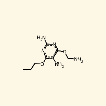 CCCOc1nc(N)nc(OCN)c1N